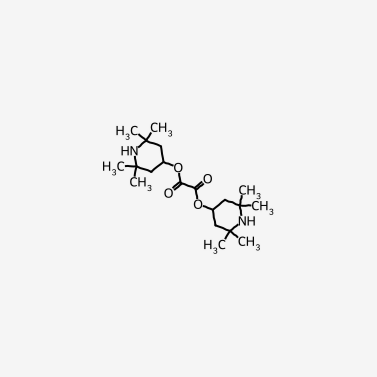 CC1(C)CC(OC(=O)C(=O)OC2CC(C)(C)NC(C)(C)C2)CC(C)(C)N1